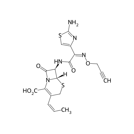 C#CCO/N=C(\C(=O)N[C@@H]1C(=O)N2C(C(=O)O)=C(/C=C\C)CS[C@@H]12)c1csc(N)n1